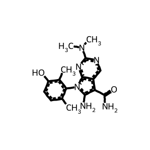 Cc1ccc(O)c(C)c1-n1c(N)c(C(N)=O)c2cnc(N(C)C)nc21